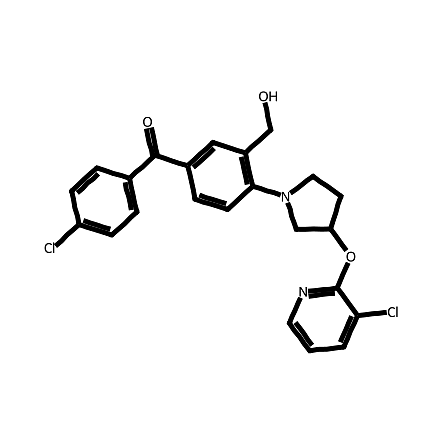 O=C(c1ccc(Cl)cc1)c1ccc(N2CCC(Oc3ncccc3Cl)C2)c(CO)c1